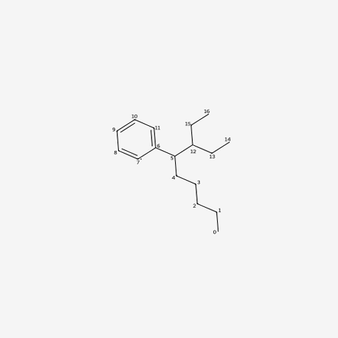 CCCCCC(c1[c]cccc1)C(CC)CC